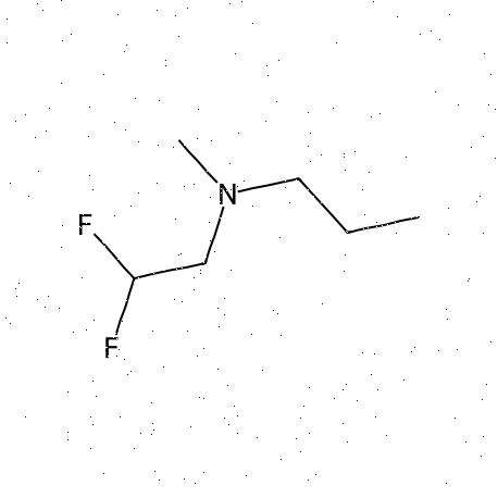 CCCN(C)CC(F)F